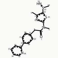 Cc1nc(N(C)C(=O)Cc2ccc(-c3ccccn3)cc2)sc1S(C)=N